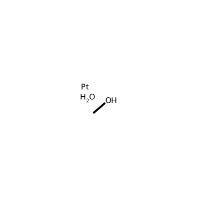 CO.O.[Pt]